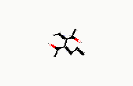 C=C/C=C(C(C)=O)\C(=C/C)C(C)=O